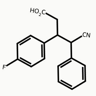 N#CC(c1ccccc1)C(CC(=O)O)c1ccc(F)cc1